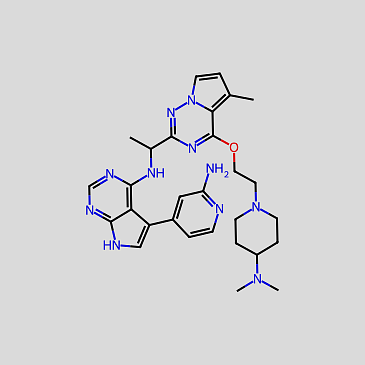 Cc1ccn2nc(C(C)Nc3ncnc4[nH]cc(-c5ccnc(N)c5)c34)nc(OCCN3CCC(N(C)C)CC3)c12